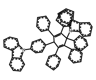 c1ccc(C2=C(c3ccccc3)C(c3ccccc3)(n3c4ccccc4c4ccccc43)C(c3ccccc3)=C(c3ccccc3)C2c2ccc(-n3c4ccccc4c4ccccc43)cc2)cc1